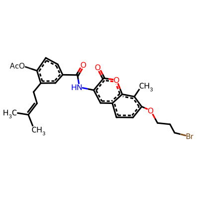 CC(=O)Oc1ccc(C(=O)Nc2cc3ccc(OCCCBr)c(C)c3oc2=O)cc1CC=C(C)C